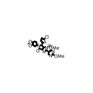 COc1ncc(-c2nc3c(n2C(C)C)C(c2ccc(Cl)s2)N(c2ccc4c(c2)OCO4)C3=O)c(OC)n1